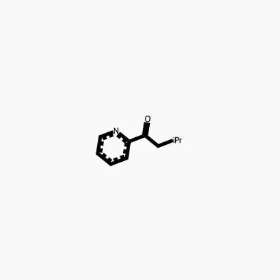 CC(C)CC(=O)c1ccccn1